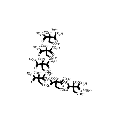 O=C([O-])CC(C(=O)[O-])(C(=O)C(=O)O)C(=O)C(=O)O.O=C([O-])CC(C(=O)[O-])(C(=O)C(=O)O)C(=O)C(=O)O.O=C([O-])CC(C(=O)[O-])(C(=O)C(=O)O)C(=O)C(=O)O.O=C([O-])CC(C(=O)[O-])(C(=O)C(=O)O)C(=O)C(=O)O.O=C([O-])CC(C(=O)[O-])(C(=O)C(=O)O)C(=O)C(=O)O.O=C([O-])CC(C(=O)[O-])(C(=O)C(=O)O)C(=O)C(=O)O.[Sn+4].[Sn+4].[Sn+4]